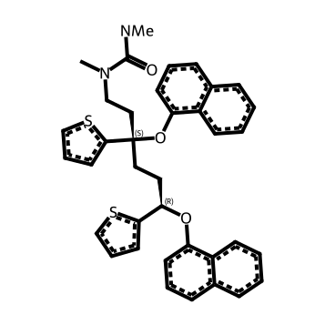 CNC(=O)N(C)CC[C@](CC[C@@H](Oc1cccc2ccccc12)c1cccs1)(Oc1cccc2ccccc12)c1cccs1